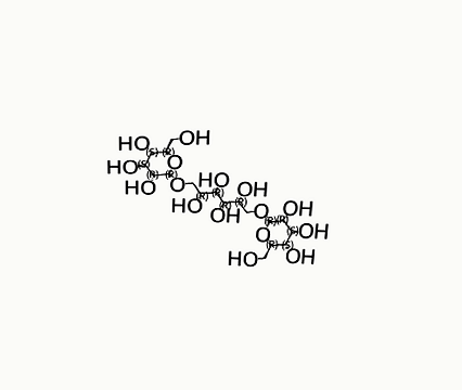 OC[C@H]1O[C@@H](OC[C@@H](O)[C@@H](O)[C@H](O)[C@H](O)CO[C@@H]2O[C@H](CO)[C@@H](O)[C@H](O)[C@H]2O)[C@H](O)[C@@H](O)[C@@H]1O